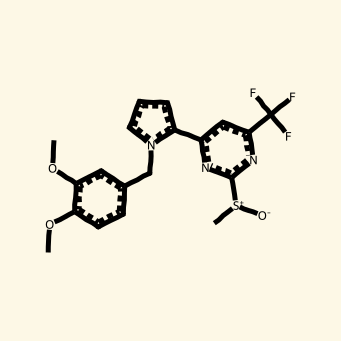 COc1ccc(Cn2cccc2-c2cc(C(F)(F)F)nc([S+](C)[O-])n2)cc1OC